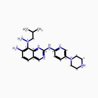 CC(C)CN(N)c1c(N)ccc2cnc(Nc3ccc(N4CCNCC4)cn3)nc12